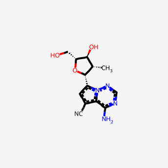 C[C@H]1[C@H](O)[C@@H](CO)O[C@H]1c1cc(C#N)c2c(N)ncnn12